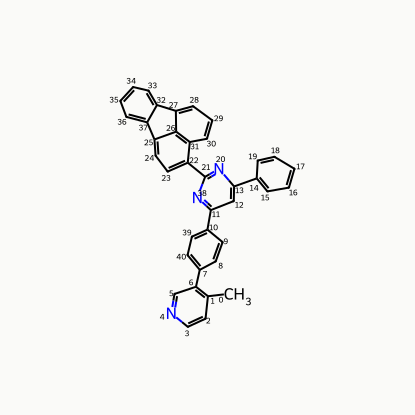 Cc1ccncc1-c1ccc(-c2cc(-c3ccccc3)nc(-c3ccc4c5c(cccc35)-c3ccccc3-4)n2)cc1